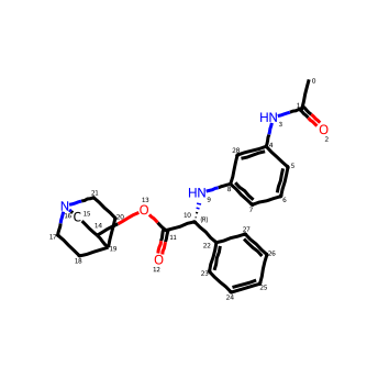 CC(=O)Nc1cccc(N[C@@H](C(=O)OC2CN3CCC2CC3)c2ccccc2)c1